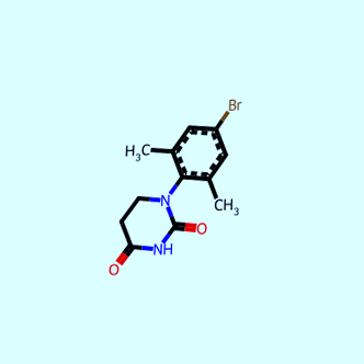 Cc1cc(Br)cc(C)c1N1CCC(=O)NC1=O